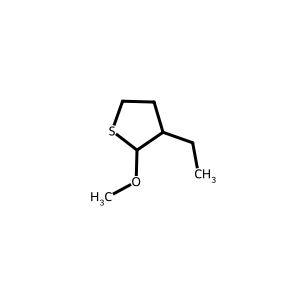 CCC1CCSC1OC